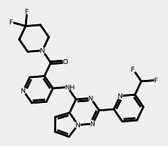 O=C(c1cnccc1Nc1nc(-c2cccc(C(F)F)n2)nn2cccc12)N1CCC(F)(F)CC1